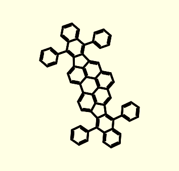 c1ccc(-c2c3ccccc3c(-c3ccccc3)c3c4cc5ccc6cc7c8c(-c9ccccc9)c9ccccc9c(-c9ccccc9)c8c8ccc9c%10ccc(c23)c4c%10c5c6c9c87)cc1